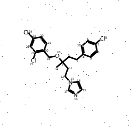 CC(CCc1ccc(Cl)cc1)(CCn1ccnc1)OCc1ccc(Cl)cc1Cl